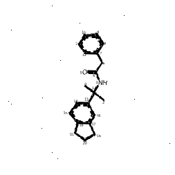 CC(C)(NC(=O)Cc1ccccc1)c1ccc2c(c1)CCC2